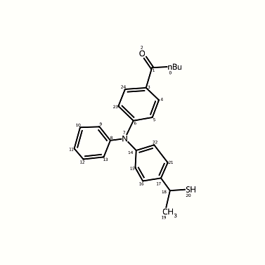 CCCCC(=O)c1ccc(N(c2ccccc2)c2ccc(C(C)S)cc2)cc1